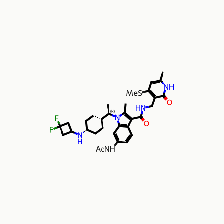 CSc1cc(C)[nH]c(=O)c1CNC(=O)c1c(C)n([C@H](C)[C@H]2CC[C@@H](NC3CC(F)(F)C3)CC2)c2cc(NC(C)=O)ccc12